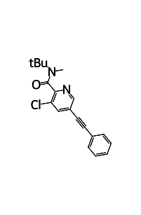 CN(C(=O)c1ncc(C#Cc2ccccc2)cc1Cl)C(C)(C)C